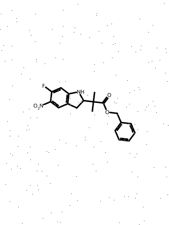 CC(C)(C(=O)OCc1ccccc1)C1Cc2cc([N+](=O)[O-])c(F)cc2N1